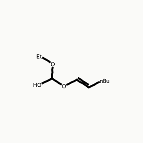 CCCCC=COC(O)OCC